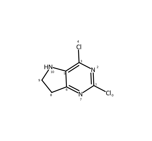 Clc1nc(Cl)c2c(n1)CCN2